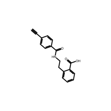 [C]#Cc1ccc(C(=O)NCCc2ccccc2C(=O)O)cc1